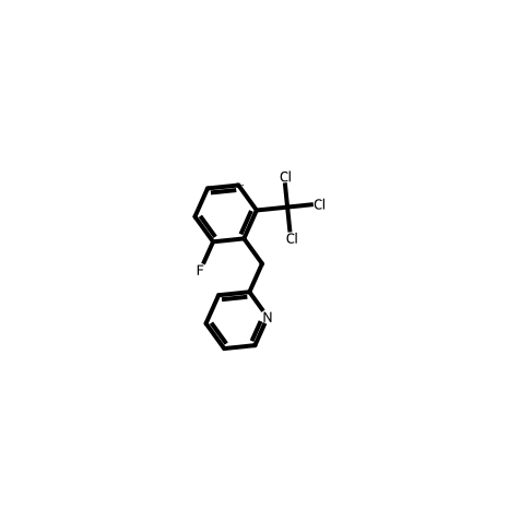 Fc1cc[c]c(C(Cl)(Cl)Cl)c1Cc1ccccn1